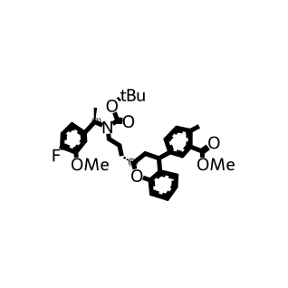 COC(=O)c1cc(C2C[C@@H](CCCN(C(=O)OC(C)(C)C)[C@H](C)c3ccc(F)c(OC)c3)Oc3ccccc32)ccc1C